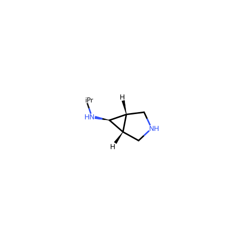 CC(C)N[C@H]1[C@@H]2CNC[C@@H]21